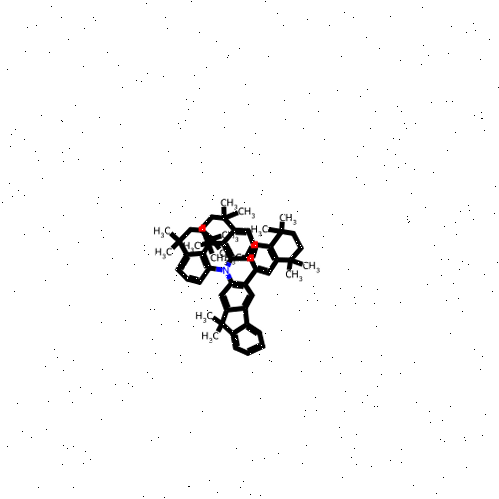 Cc1cc2c(cc1-c1cc3c(cc1N(c1cccc4c1C(C)(C)CCC4(C)C)c1cccc4c1C(C)(C)CCC4(C)C)C(C)(C)c1ccccc1-3)C(C)(C)CCC2(C)C